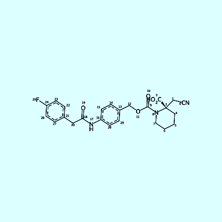 N#CC[C@]1(C(=O)O)CCCCN1C(=O)OCc1ccc(NC(=O)Cc2ccc(F)cc2)cc1